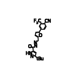 CC(C)(C)c1cc(C(=O)N=NCc2ccc(-c3ccc(C#N)c(C(F)(F)F)c3)o2)[nH]n1